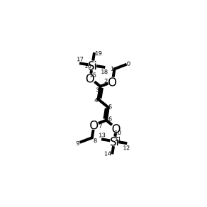 CCO/C(=C\C=C(/OCC)O[Si](C)(C)C)O[Si](C)(C)C